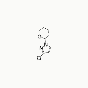 Clc1ccn(C2CCCCO2)n1